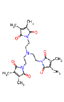 CC1=C(C)C(=O)N(CCN(CCN2C(=O)C(C)=C(C)C2=O)CCN2C(=O)C(C)=C(C)C2=O)C1=O